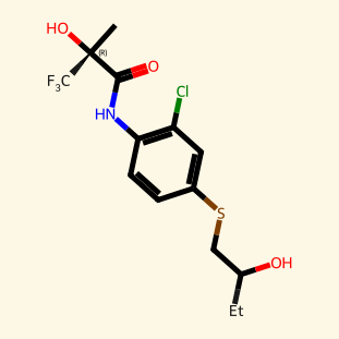 CCC(O)CSc1ccc(NC(=O)[C@@](C)(O)C(F)(F)F)c(Cl)c1